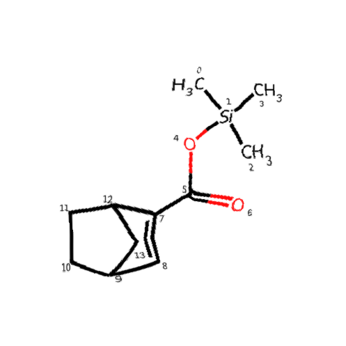 C[Si](C)(C)OC(=O)C1=CC2CCC1C2